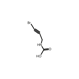 O=C(O)NCC#CBr